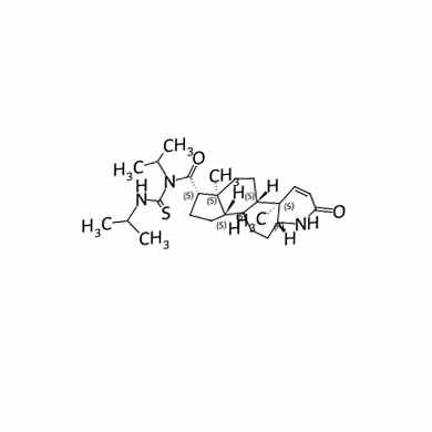 CC(C)NC(=S)N(C(=O)[C@H]1CC[C@H]2[C@@H]3CC[C@H]4NC(=O)C=C[C@]4(C)[C@H]3CC[C@]12C)C(C)C